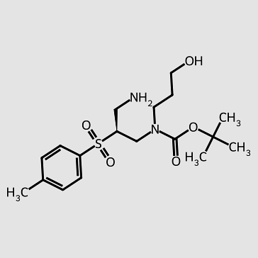 Cc1ccc(S(=O)(=O)[C@@H](CN)CN(CCCO)C(=O)OC(C)(C)C)cc1